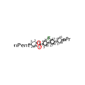 CCCCCC1CCC(OC(=O)c2ccc(-c3ccc([C@H]4CC[C@H](CCC)CC4)cc3F)cc2)CC1